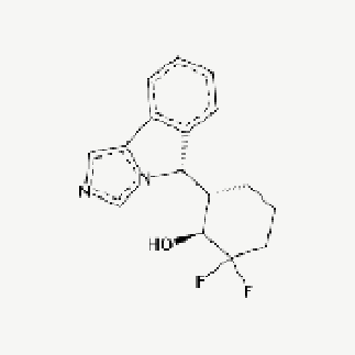 O[C@H]1[C@H]([C@H]2c3ccccc3-c3cncn32)CCCC1(F)F